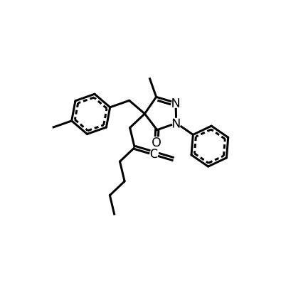 C=C=C(CCCC)CC1(Cc2ccc(C)cc2)C(=O)N(c2ccccc2)N=C1C